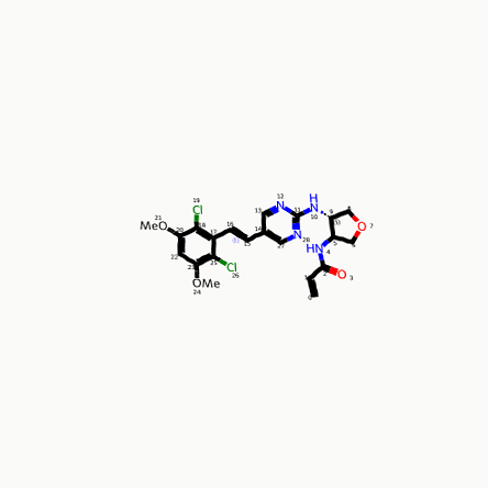 C=CC(=O)NC1COC[C@H]1Nc1ncc(/C=C/c2c(Cl)c(OC)cc(OC)c2Cl)cn1